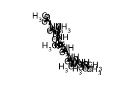 COC(=O)CCNC(=O)c1nc(NC(=O)c2cc(NC(=O)CCNC(=O)c3nc(NC(=O)OC(C)(C)C)cn3C)cn2C)cn1C